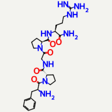 N=C(N)NCCC[C@H](NC(=O)[C@@H]1CCCN1C(=O)CNC(=O)[C@@H]1CCCN1C(=O)[C@@H](N)Cc1ccccc1)C(N)=O